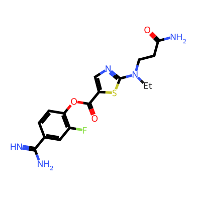 CCN(CCC(N)=O)c1ncc(C(=O)Oc2ccc(C(=N)N)cc2F)s1